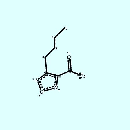 CCCCc1nonc1C(N)=O